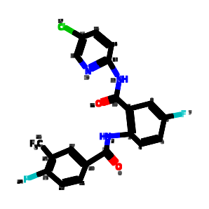 O=C(Nc1ccc(F)cc1C(=O)Nc1ccc(Cl)cn1)c1ccc(F)c(C(F)(F)F)c1